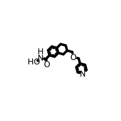 O=C(NO)c1ccc2c(c1)CC(COCc1ccncc1)CC2